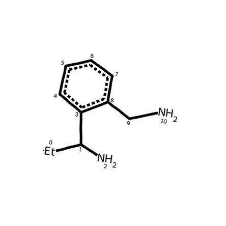 C[CH]C(N)c1ccccc1CN